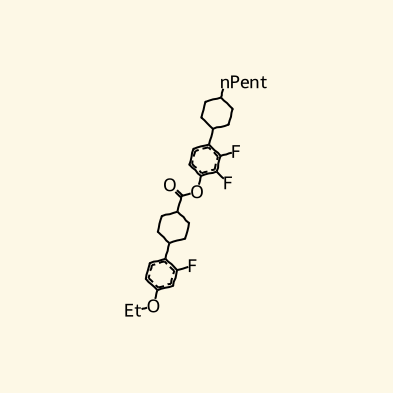 CCCCCC1CCC(c2ccc(OC(=O)C3CCC(c4ccc(OCC)cc4F)CC3)c(F)c2F)CC1